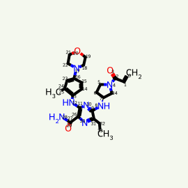 C=CC(=O)N1CC[C@@H](Nc2nc(Nc3ccc(N4CCOCC4)cc3C)c(C(N)=O)nc2CC)C1